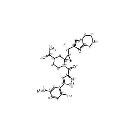 COc1cc(-c2cc(C(=O)N3CCC(C(N)=O)CC34CC4[C@H](C)c3cn4c(n3)COCC4)n[nH]2)c(F)cn1